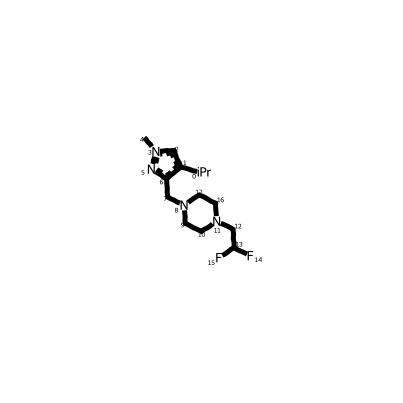 CC(C)c1cn(C)nc1CN1CCN(CC(F)F)CC1